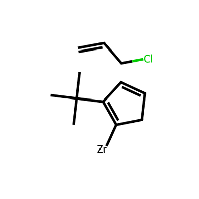 C=CCCl.CC(C)(C)C1=[C]([Zr])CC=C1